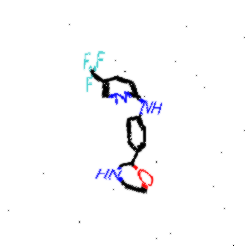 FC(F)(F)c1ccc(Nc2ccc(C3CNCCO3)cc2)nc1